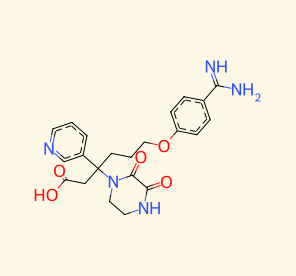 N=C(N)c1ccc(OCCCC(CC(=O)O)(c2cccnc2)N2CCNC(=O)C2=O)cc1